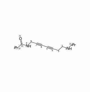 CC(C)NCCC#CC#CCNC(=O)C(C)C